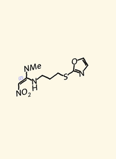 CN/C(=C/[N+](=O)[O-])NCCCSc1ncco1